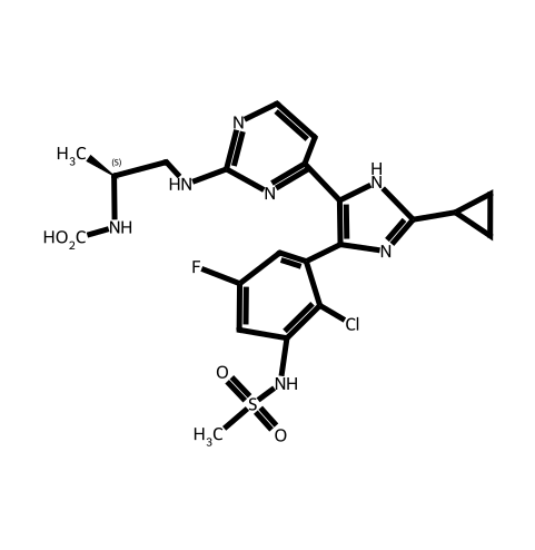 C[C@@H](CNc1nccc(-c2[nH]c(C3CC3)nc2-c2cc(F)cc(NS(C)(=O)=O)c2Cl)n1)NC(=O)O